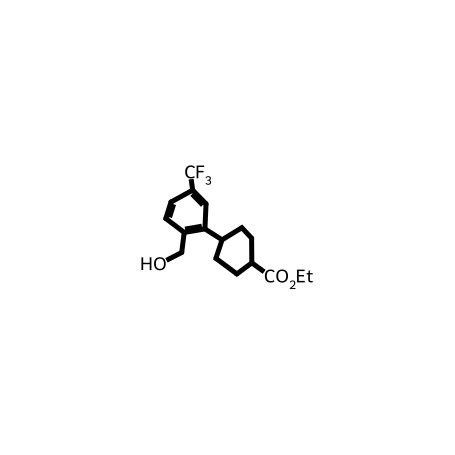 CCOC(=O)C1CCC(c2cc(C(F)(F)F)ccc2CO)CC1